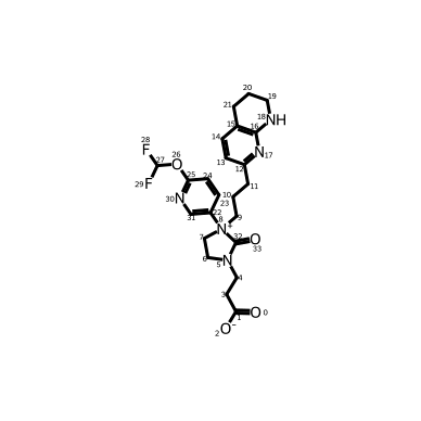 O=C([O-])CCN1CC[N+](CCCc2ccc3c(n2)NCCC3)(c2ccc(OC(F)F)nc2)C1=O